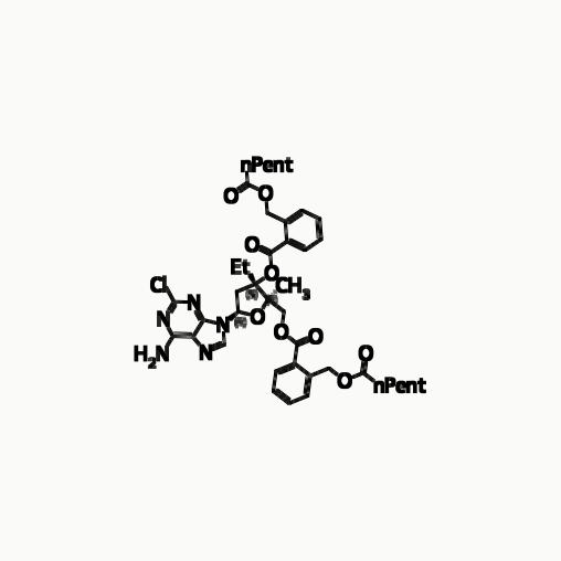 CCCCCC(=O)OCc1ccccc1C(=O)OC[C@@]1(C)O[C@@H](n2cnc3c(N)nc(Cl)nc32)C[C@]1(CC)OC(=O)c1ccccc1COC(=O)CCCCC